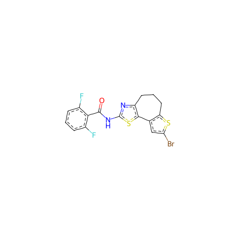 O=C(Nc1nc2c(s1)-c1cc(Br)sc1CCC2)c1c(F)cccc1F